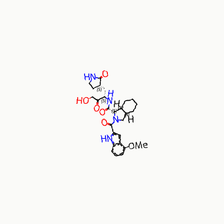 COc1cccc2[nH]c(C(=O)N3C[C@@H]4CCCC[C@@H]4[C@H]3C(=O)N[C@@H](C[C@@H]3CCNC3=O)C(=O)CO)cc12